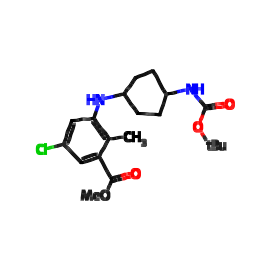 COC(=O)c1cc(Cl)cc(NC2CCC(NC(=O)OC(C)(C)C)CC2)c1C